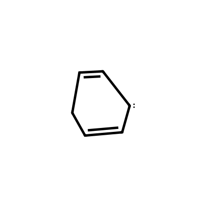 [C]1C=CCC=C1